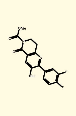 COC(=O)N1CCc2nc(-c3ccc(F)c(F)c3)c(C(C)(C)C)cc2C1=O